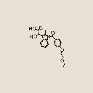 CCOCCOc1ccc(C(=O)n2c(C)c(C(O)C(=O)O)c3ccccc32)cc1